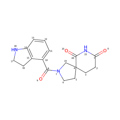 O=C1CCC2(CCN(C(=O)c3cccc4c3CCN4)C2)C(=O)N1